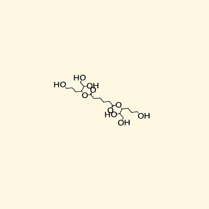 O=C(CCCCC(=O)OC(CCCO)C(O)CO)OC(CCCO)C(O)CO